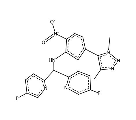 Cc1nnn(C)c1-c1ccc([N+](=O)[O-])c(NC(c2ccc(F)cn2)c2ccc(F)cn2)c1